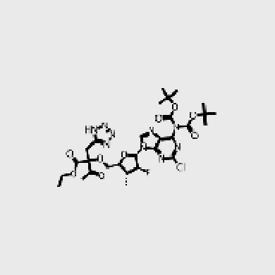 CCOC(=O)C(Cc1nnn[nH]1)(OC[C@H]1O[C@@H](n2cnc3c(N(C(=O)OC(C)(C)C)C(=O)OC(C)(C)C)nc(Cl)nc32)[C@@H](F)[C@@H]1C)C(C)=O